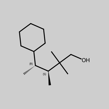 C[C@H](C1CCCCC1)[C@H](C)C(C)(C)CO